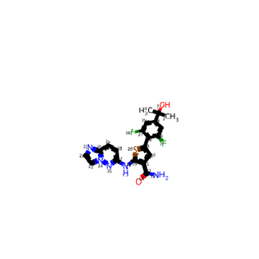 CC(C)(O)c1cc(F)c(-c2cc(C(N)=O)c(Nc3ccc4nccn4n3)s2)c(F)c1